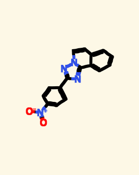 O=[N+]([O-])c1ccc(-c2nc3c4ccccc4ccn3n2)cc1